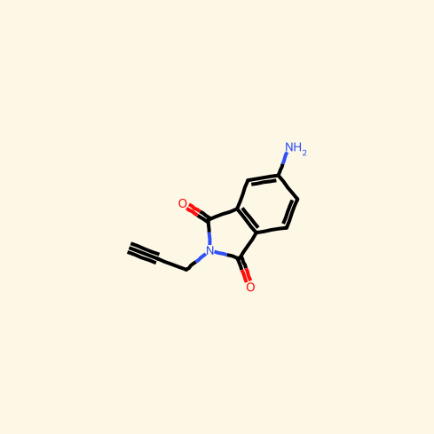 C#CCN1C(=O)c2ccc(N)cc2C1=O